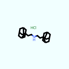 C(CC12CC3CC(CC(C3)C1)C2)NCCC12CC3CC(CC(C3)C1)C2.Cl